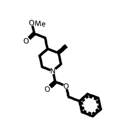 C=C1CN(C(=O)OCc2ccccc2)CCC1CC(=O)OC